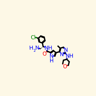 Cc1cnc(NC2CCOCC2)nc1-c1c[nH]c(C(=O)N[C@H](CN)c2cccc(Cl)c2)c1